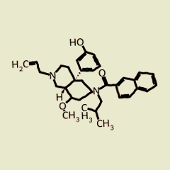 C=CCN1CC[C@@]2(c3cccc(O)c3)C[C@H](N(CC(C)C)C(=O)c3ccc4ccccc4c3)CC(OC)[C@@H]2C1